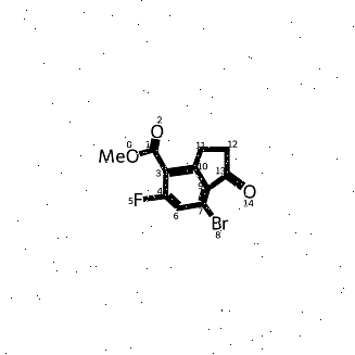 COC(=O)c1c(F)cc(Br)c2c1CCC2=O